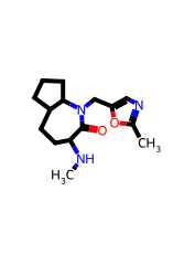 CNC1CCC2CCCC2N(Cc2cnc(C)o2)C1=O